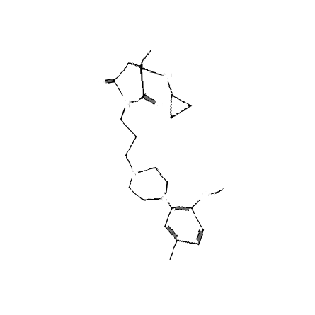 COc1ccc(C)cc1N1CCN(CCCN2C(=O)CC(C)(NC3CC3)C2=O)CC1